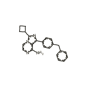 Nc1nccn2c(C3CCC3)nc(-c3ccc(Cc4ccccc4)cc3)c12